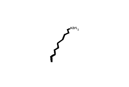 C=CCCCCCCC[CH2][AlH2]